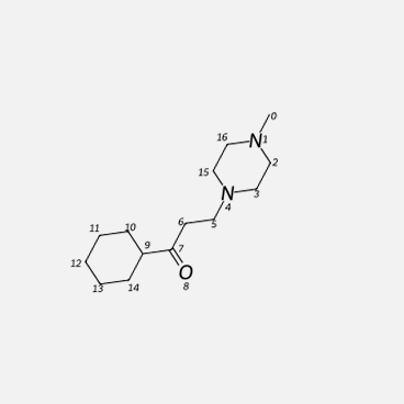 CN1CCN(CCC(=O)C2CCCCC2)CC1